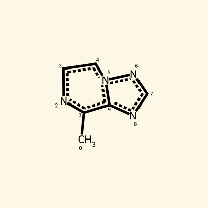 Cc1nccn2ncnc12